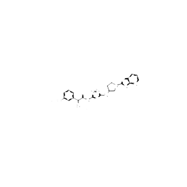 NC(C(=O)Nc1nnc(NC2CCN(c3nc4ncccc4s3)C2)s1)c1cccc(OC(F)(F)F)c1